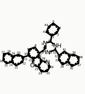 c1ccc(C2N=C(c3ccc(-c4ccc5ccccc5c4)c4oc5cccnc5c34)NC(c3ccc4ccccc4c3)N2)cc1